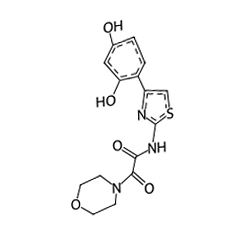 O=C(Nc1nc(-c2ccc(O)cc2O)cs1)C(=O)N1CCOCC1